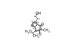 CC(C)n1c(=O)n(C)c(=O)c2c1ncn2CCO